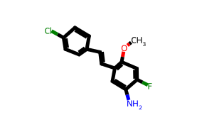 COc1cc(F)c(N)cc1C=Cc1ccc(Cl)cc1